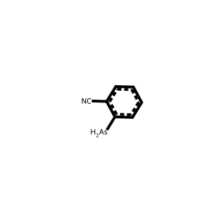 N#Cc1ccccc1[AsH2]